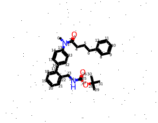 CN(C(=O)CCCc1ccccc1)c1ccc(-c2ccccc2CNC(=O)OC(C)(C)C)cc1